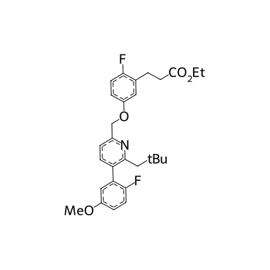 CCOC(=O)CCc1cc(OCc2ccc(-c3cc(OC)ccc3F)c(CC(C)(C)C)n2)ccc1F